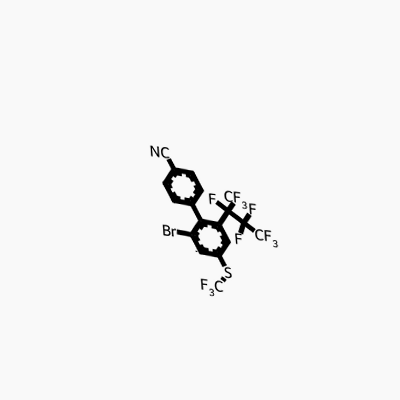 N#Cc1ccc(-c2c(Br)[c]c(SC(F)(F)F)cc2C(F)(C(F)(F)F)C(F)(F)C(F)(F)F)cc1